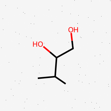 CC(C)C(O)CO